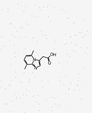 Cc1ccc(C)n2c(CC(=O)O)cnc12